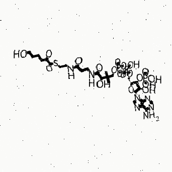 CC(C)(COP(=O)(O)OP(=O)(O)OC[C@H]1O[C@@H](n2cnc3c(N)ncnc32)[C@H](O)[C@@H]1OP(=O)(O)O)C(O)C(=O)NCCC(=O)NCCSC(=O)C(=O)CCCCO